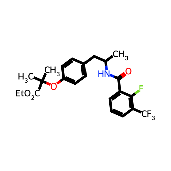 CCOC(=O)C(C)(C)Oc1ccc(CC(C)NC(=O)c2cccc(C(F)(F)F)c2F)cc1